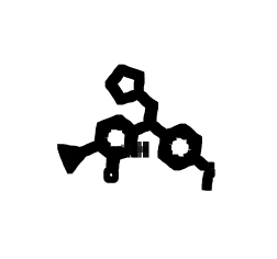 CSc1ccc(C(=CC2CCCC2)c2ccc(C3CC3)c(=O)[nH]2)cc1